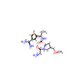 COCC1C[C@@H](C(=O)N[C@H](C)c2cc(C(=N)N)cs2)N(C(=O)CN)C1